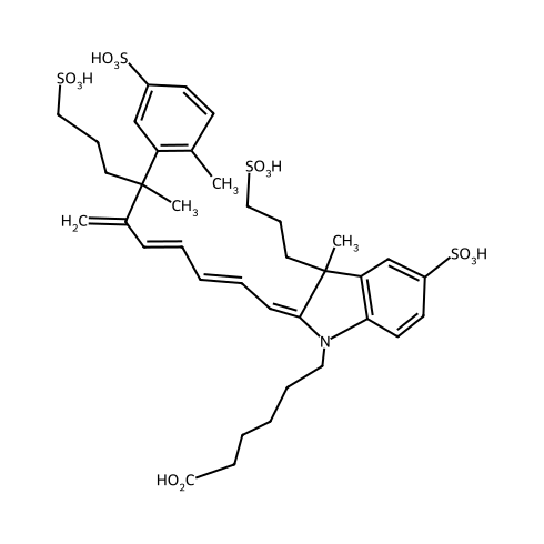 C=C(/C=C/C=C/C=C1/N(CCCCCC(=O)O)c2ccc(S(=O)(=O)O)cc2C1(C)CCCS(=O)(=O)O)C(C)(CCCS(=O)(=O)O)c1cc(S(=O)(=O)O)ccc1C